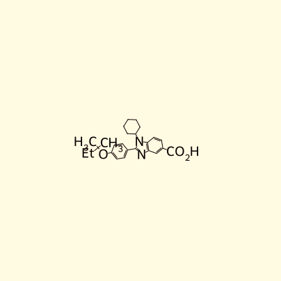 CCC(C)(C)Oc1ccc(-c2nc3cc(C(=O)O)ccc3n2C2CCCCC2)cc1